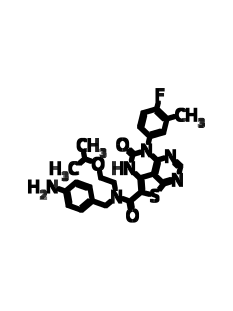 Cc1cc(N2C(=O)Nc3c(C(=O)N(CCOC(C)C)Cc4ccc(N)cc4)sc4ncnc2c34)ccc1F